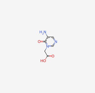 Nc1cncn(CC(=O)O)c1=O